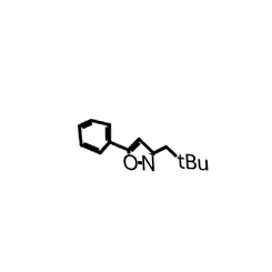 CC(C)(C)Cc1cc(-c2ccccc2)on1